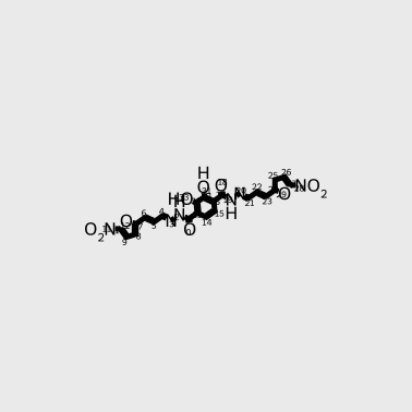 O=C(N/N=C/C=C/c1ccc([N+](=O)[O-])o1)c1ccc(C(=O)N/N=C/C=C/C2CC=C([N+](=O)[O-])O2)c(O)c1O